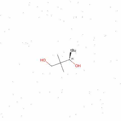 CC(C)(C)[C@@H](O)C(C)(C)CO